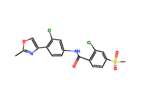 Cc1nc(-c2ccc(NC(=O)c3ccc(S(C)(=O)=O)cc3Cl)cc2Cl)co1